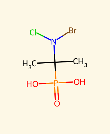 CC(C)(N(Cl)Br)P(=O)(O)O